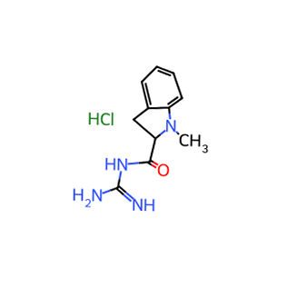 CN1c2ccccc2CC1C(=O)NC(=N)N.Cl